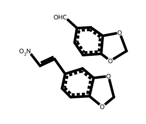 O=Cc1ccc2c(c1)OCO2.O=[N+]([O-])/C=C/c1ccc2c(c1)OCO2